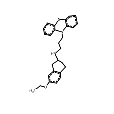 CCOc1ccc2c(c1)CC(NCCCN1c3ccccc3Sc3ccccc31)CC2